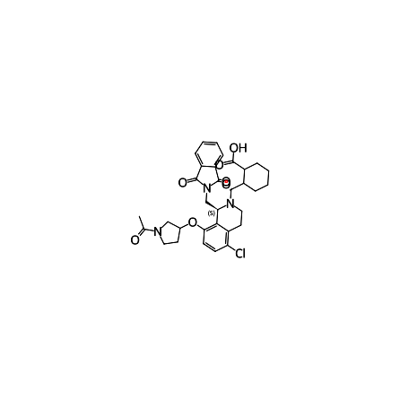 CC(=O)N1CCC(Oc2ccc(Cl)c3c2[C@@H](CN2C(=O)c4ccccc4C2=O)N(C(=O)C2CCCCC2C(=O)O)CC3)C1